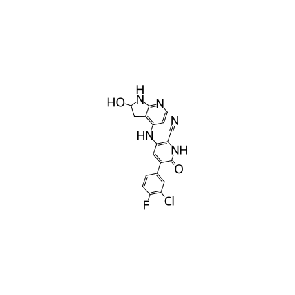 N#Cc1[nH]c(=O)c(-c2ccc(F)c(Cl)c2)cc1Nc1ccnc2c1CC(O)N2